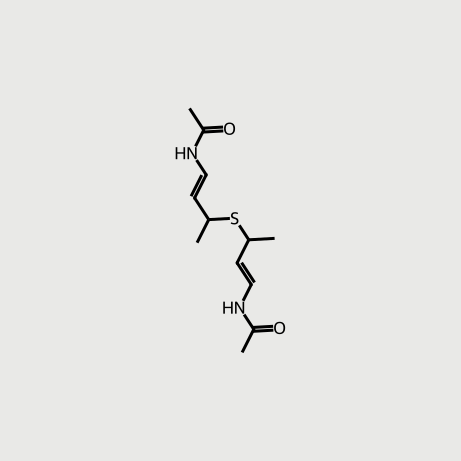 CC(=O)NC=CC(C)SC(C)C=CNC(C)=O